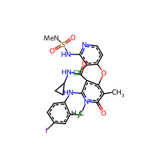 CNS(=O)(=O)Nc1nccc(Oc2c(C(=O)NC3CC3)c(Nc3ccc(I)cc3F)n(C)c(=O)c2C)c1Cl